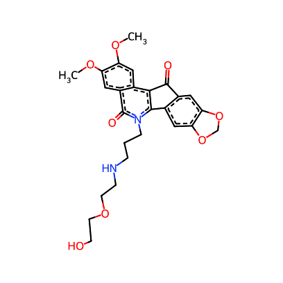 COc1cc2c3c(n(CCCNCCOCCO)c(=O)c2cc1OC)-c1cc2c(cc1C3=O)OCO2